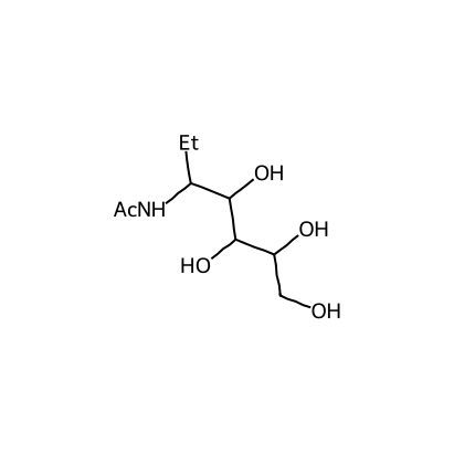 CCC(NC(C)=O)C(O)C(O)C(O)CO